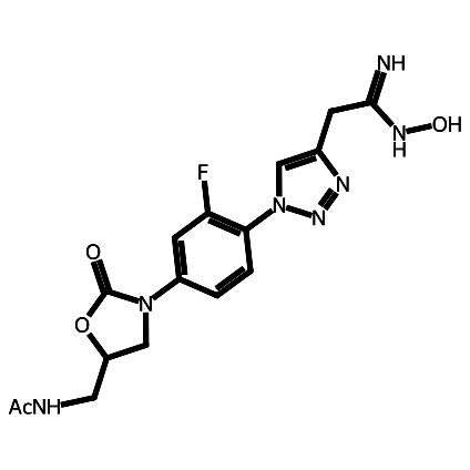 CC(=O)NCC1CN(c2ccc(-n3cc(CC(=N)NO)nn3)c(F)c2)C(=O)O1